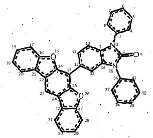 O=c1n(-c2ccccc2)c2ccc(-c3c4oc5ccccc5c4cc4c3oc3ccccc34)cc2n1-c1ccccc1